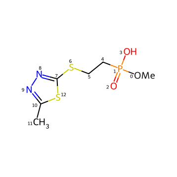 COP(=O)(O)CCSc1nnc(C)s1